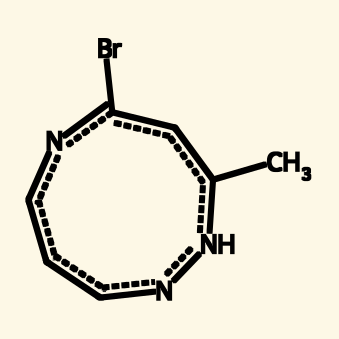 Cc1cc(Br)ncccn[nH]1